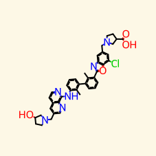 Cc1c(Nc2nccc3cc(CN4CCC(O)C4)cnc23)cccc1-c1cccc(-c2nc3cc(CN4CCC(C(=O)O)C4)cc(Cl)c3o2)c1C